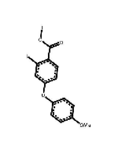 COc1ccc(Oc2ccc(C(=O)OI)c(I)c2)cc1